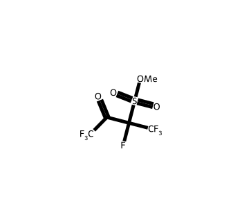 COS(=O)(=O)C(F)(C(=O)C(F)(F)F)C(F)(F)F